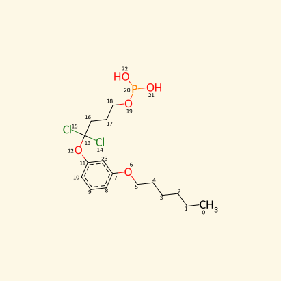 CCCCCCOc1cccc(OC(Cl)(Cl)CCCOP(O)O)c1